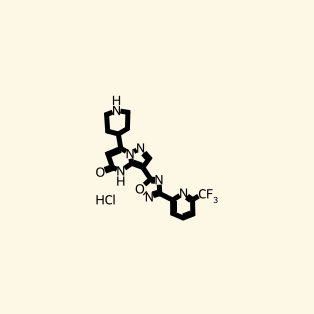 Cl.O=c1cc(C2CCNCC2)n2ncc(-c3nc(-c4cccc(C(F)(F)F)n4)no3)c2[nH]1